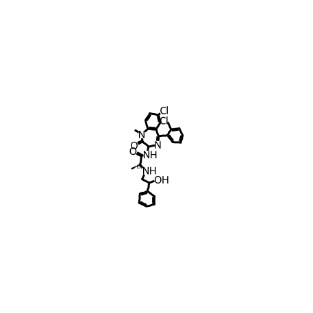 C[C@H](NCC(O)c1ccccc1)C(=O)NC1N=C(c2ccccc2Cl)c2cc(Cl)ccc2N(C)C1=O